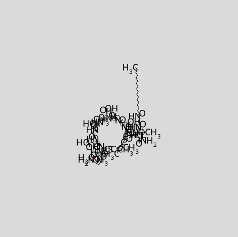 CCCCCCCCCCCCCCCCCC(=O)NCCC(=O)N[C@@H](CC(C)C)C(=O)N[C@@H](CCC(N)=O)C(=O)N[C@H]1CSCc2c(C)cc(C)c(c2C)CSC[C@@H](C(=O)N[C@@H](CC(C)C)C(=O)N2CCC[C@H]2C(N)=O)NC(=O)[C@H](CCC(=O)O)NC(=O)CNC(=O)[C@H]([C@@H](C)O)NC(=O)[C@H](CCC(=O)O)NC(=O)[C@@H]2CCCN2C(=O)[C@H](CC(=O)O)NC1=O